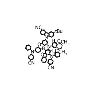 CC(C)(C)c1ccc2c(c1)c1cc(C#N)ccc1n2-c1cc2c3c(c1)N(c1ccc4c(c1)C(C)(C)CCC4(C)C)c1cc(N(c4ccccc4)c4ccc(C#N)cc4)c4c(oc5ccccc54)c1B3c1ccc(N(c3ccccc3)c3ccc(C#N)cc3)cc1O2